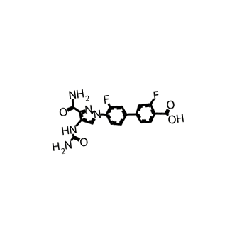 NC(=O)Nc1cn(-c2ccc(-c3ccc(C(=O)O)c(F)c3)cc2F)nc1C(N)=O